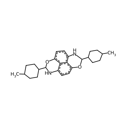 CC1CCC(C2Nc3ccc4c5c(ccc(c35)O2)NC(C2CCC(C)CC2)O4)CC1